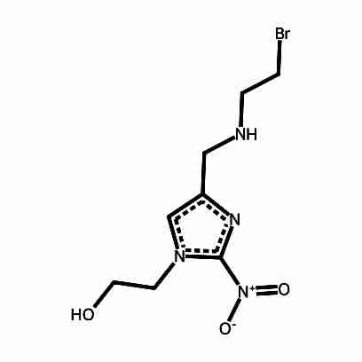 O=[N+]([O-])c1nc(CNCCBr)cn1CCO